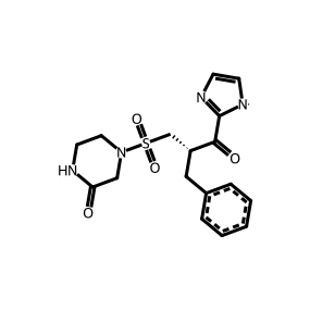 O=C1CN(S(=O)(=O)C[C@@H](Cc2ccccc2)C(=O)C2=NC=C[N]2)CCN1